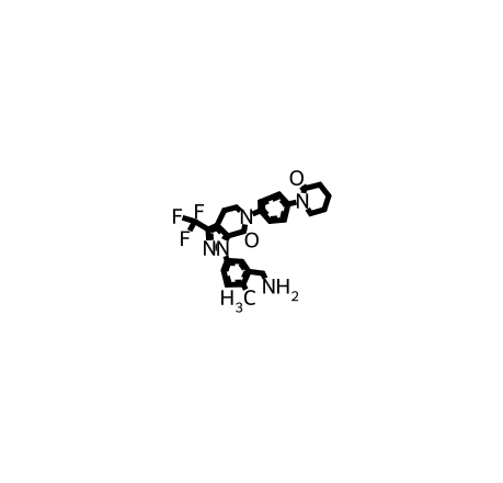 Cc1ccc(-n2nc(C(F)(F)F)c3c2C(=O)N(c2ccc(N4CCCCC4=O)cc2)CC3)cc1CN